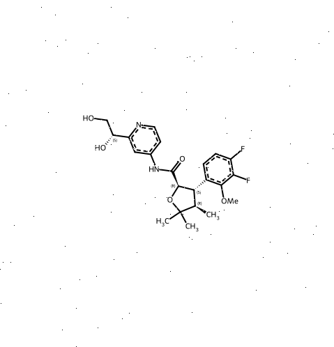 COc1c([C@@H]2[C@@H](C)C(C)(C)O[C@H]2C(=O)Nc2ccnc([C@H](O)CO)c2)ccc(F)c1F